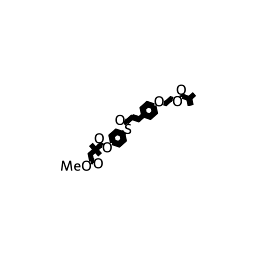 C=C(C)C(=O)OCCOc1ccc(/C=C/C(=O)Sc2ccc(OC(=O)C(C)(C)CC(=O)OC)cc2)cc1